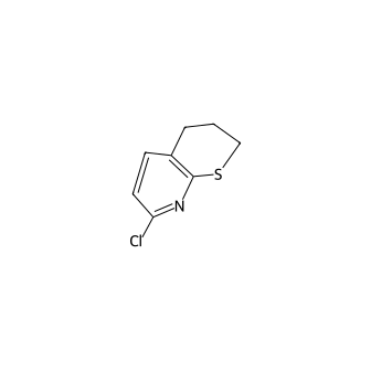 Clc1ccc2c(n1)SCCC2